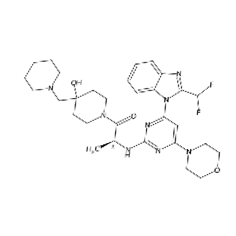 C[C@H](Nc1nc(N2CCOCC2)cc(-n2c(C(F)F)nc3ccccc32)n1)C(=O)N1CCC(O)(CN2CCCCC2)CC1